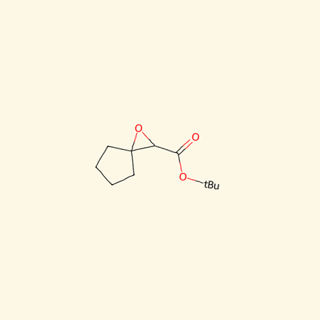 CC(C)(C)OC(=O)C1OC12CCCC2